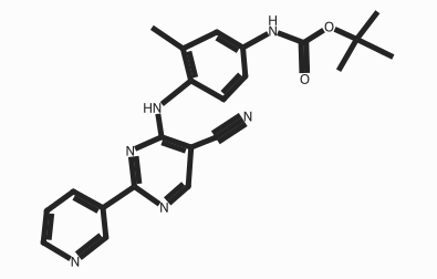 Cc1cc(NC(=O)OC(C)(C)C)ccc1Nc1nc(-c2cccnc2)ncc1C#N